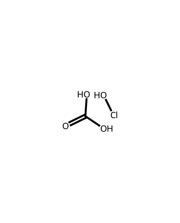 O=C(O)O.OCl